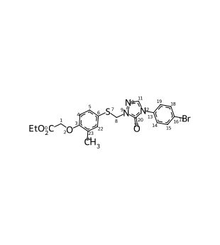 CCOC(=O)COc1ccc(SCn2ncn(-c3ccc(Br)cc3)c2=O)cc1C